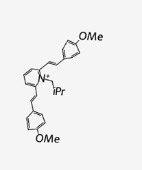 COc1ccc(/C=C/c2cccc(/C=C/c3ccc(OC)cc3)[n+]2CC(C)C)cc1